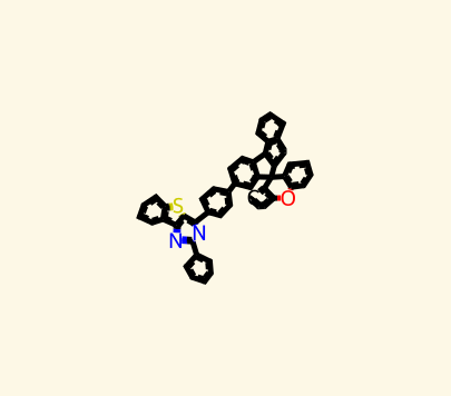 c1ccc(-c2nc(-c3ccc(-c4ccc5c(c4)C4(c6ccccc6Oc6ccccc64)c4ccc6ccccc6c4-5)cc3)c3sc4ccccc4c3n2)cc1